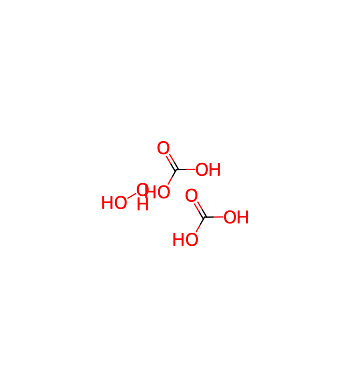 O=C(O)O.O=C(O)O.OO